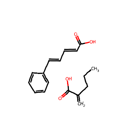 C=C(CCC)C(=O)O.O=C(O)C=CC=Cc1ccccc1